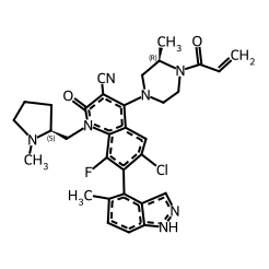 C=CC(=O)N1CCN(c2c(C#N)c(=O)n(C[C@@H]3CCCN3C)c3c(F)c(-c4c(C)ccc5[nH]ncc45)c(Cl)cc23)C[C@H]1C